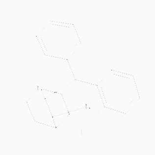 N[C@H]1C2CCN(CC2)C1C(c1ccccc1)c1ccccc1